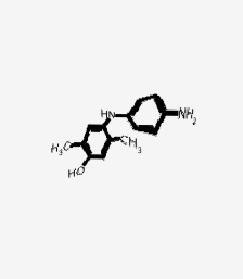 Cc1cc(Nc2ccc(N)cc2)c(C)cc1O